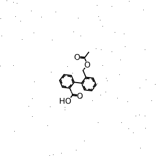 CC(=O)OCc1ccccc1-c1ccccc1C(=O)O